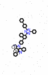 C=CC1c2c(-c3ccccc3)nc3ccccc3c2N(c2ccc(-c3ccc(-c4nc(-c5ccccc5)nc(-c5ccc(-c6ccccc6)cc5)n4)c4ccccc34)cc2)C1/C=C\C